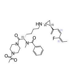 C=C(/C=C\C(F)=C/C)[C@@H]1C[C@H]1NCCCC[C@@H](C(=O)N1CCN(S(C)(=O)=O)CC1)N(C)C(=O)c1ccccc1